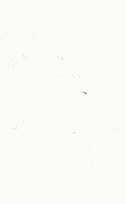 CCOC(=O)C[C@H](NC(=O)Nc1c(O)cc(C)n(C)c1=O)c1ccc(OC(F)(F)F)c(-c2cccc(OC)c2)c1